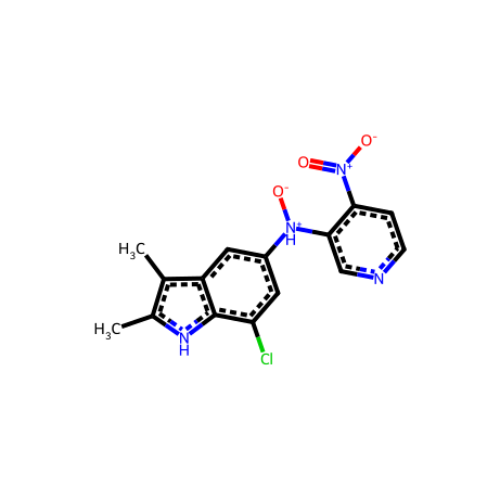 Cc1[nH]c2c(Cl)cc([NH+]([O-])c3cnccc3[N+](=O)[O-])cc2c1C